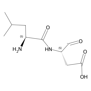 CC(C)C[C@H](N)C(=O)N[C@H]([C]=O)CC(=O)O